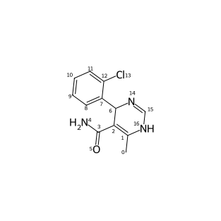 CC1=C(C(N)=O)C(c2ccccc2Cl)N=CN1